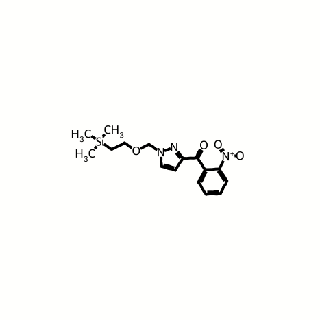 C[Si](C)(C)CCOCn1ccc(C(=O)c2ccccc2[N+](=O)[O-])n1